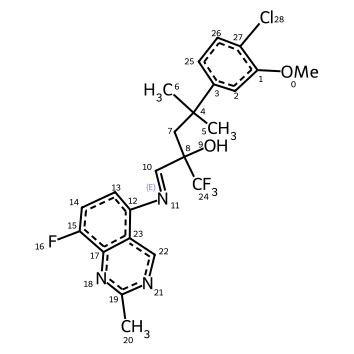 COc1cc(C(C)(C)CC(O)(/C=N/c2ccc(F)c3nc(C)ncc23)C(F)(F)F)ccc1Cl